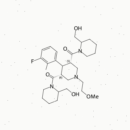 COCCN1C[C@H](C(=O)N2CCCCC2CO)C(c2cccc(F)c2C)[C@H](C(=O)N2CCCCC2CO)C1